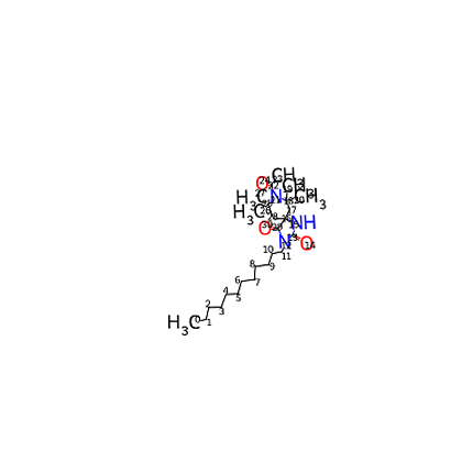 CCCCCCCCCCCCN1C(=O)NC2(CC(C)(C)N(C(C)=O)C(C)(C)C2)C1=O